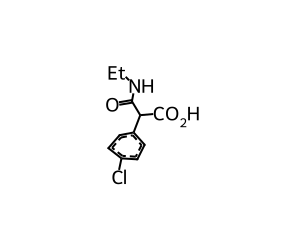 CCNC(=O)C(C(=O)O)c1ccc(Cl)cc1